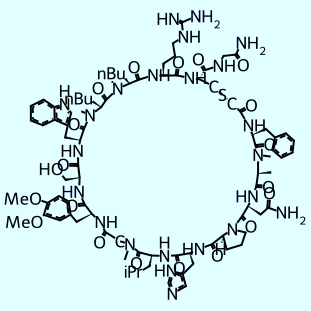 CCCC[C@H]1C(=O)N(C)[C@@H](CCCC)C(=O)N[C@@H](CCCNC(=N)N)C(=O)N[C@H](C(=O)NCC(N)=O)CSCC(=O)N[C@@H](Cc2ccccc2)C(=O)N(C)[C@@H](C)C(=O)N[C@@H](CC(N)=O)C(=O)N2CCC[C@H]2C(=O)N[C@@H](Cc2cnc[nH]2)C(=O)N[C@@H](CC(C)C)C(=O)N(C)CC(=O)N[C@@H](Cc2ccc(OC)c(OC)c2)C(=O)N[C@@H](CO)C(=O)N[C@@H](Cc2c[nH]c3ccccc23)C(=O)N1C